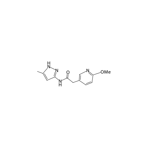 COc1ccc(CC(=O)Nc2cc(C)[nH]n2)cn1